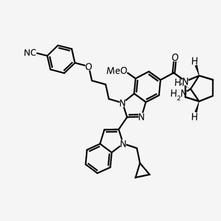 COc1cc(C(=O)N2C[C@H]3CC[C@@H]2[C@@H]3N)cc2nc(-c3cc4ccccc4n3CC3CC3)n(CCCOc3ccc(C#N)cc3)c12